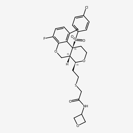 O=C(CSCC[C@@H]1OCC[C@@]2(S(=O)(=O)c3ccc(Cl)cc3)c3c(F)ccc(F)c3OC[C@@H]12)NC1COC1